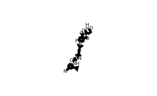 CC(C)(C(=O)Nc1ccc(C#N)cc1C1CC1)n1cc(C#CC2CN(c3cc4c(cc3F)C(=O)N(C3CCC(=O)NC3=O)C4=O)C2)cn1